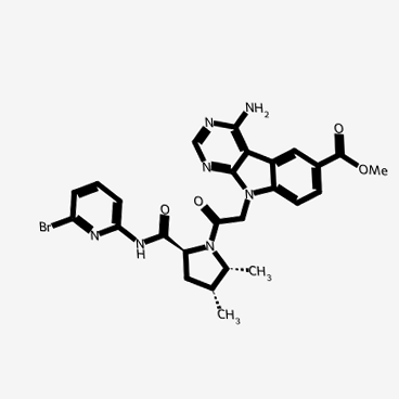 COC(=O)c1ccc2c(c1)c1c(N)ncnc1n2CC(=O)N1[C@H](C)[C@H](C)C[C@H]1C(=O)Nc1cccc(Br)n1